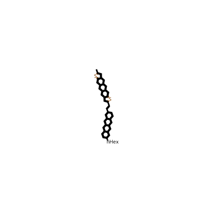 CCCCCCc1ccc2cc3cc4cc(/C=C/c5cc6cc7cc8cc9sc(C)cc9cc8cc7cc6s5)ccc4cc3cc2c1